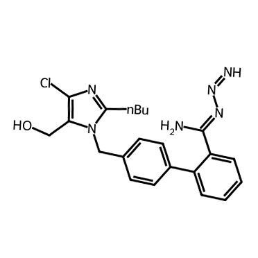 CCCCc1nc(Cl)c(CO)n1Cc1ccc(-c2ccccc2/C(N)=N/N=N)cc1